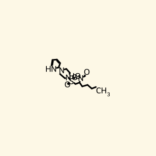 CCCCCC(CS(=O)(=O)N1CCN(C2C=CC=CN2)CC1)N(O)C=O